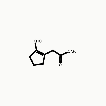 COC(=O)CC1=C(C=O)CCC1